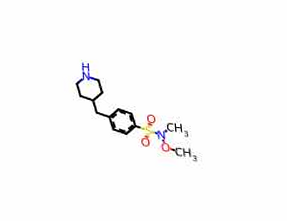 CON(C)S(=O)(=O)c1ccc(CC2CCNCC2)cc1